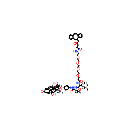 C=C(CO)[C@]12O[C@@H](c3ccc(NC(=O)[C@H](C)NC(=O)[C@@H](NC(=O)CCOCCOCCOCCOCCNC(=O)CCC(=O)CC4Cc5ccccc5/C=C\c5ccccc54)C(C)C)cc3)O[C@H]1C[C@@H]1[C@H]3CCC4=CC(=O)C=C[C@@]4(C)[C@@H]3[C@H](O)C[C@]12C